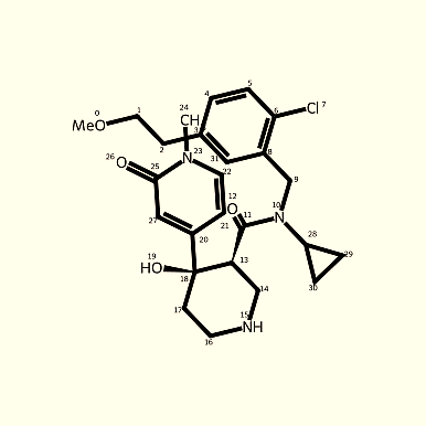 COCCc1ccc(Cl)c(CN(C(=O)[C@H]2CNCC[C@]2(O)c2ccn(C)c(=O)c2)C2CC2)c1